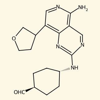 Nc1ncc(C2CCOC2)c2nc(N[C@H]3CC[C@H](C=O)CC3)ncc12